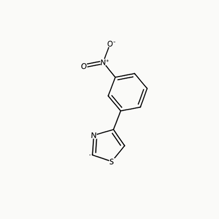 O=[N+]([O-])c1cccc(-c2cs[c]n2)c1